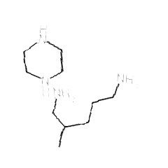 C1CNCCN1.CC(CN)CCCN